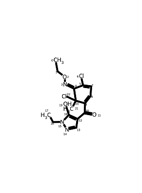 CCON=C1C(Cl)=CC=C(C(=O)c2cnn(CC)c2O)C1(C)Cl